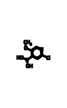 COc1cnc(Cl)cc1B(O)O